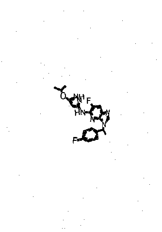 CC(C)Oc1cc(Nc2nc3c(cc2F)ncn3C(C)c2ccc(F)cc2)n[nH]1